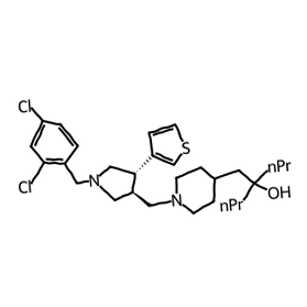 CCCC(O)(CCC)CC1CCN(C[C@H]2CN(Cc3ccc(Cl)cc3Cl)C[C@@H]2c2ccsc2)CC1